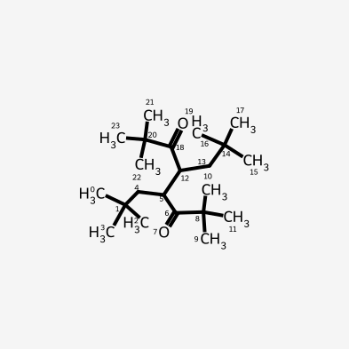 CC(C)(C)CC(C(=O)C(C)(C)C)C(CC(C)(C)C)C(=O)C(C)(C)C